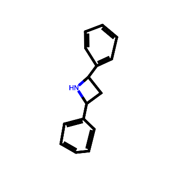 c1ccc(C2CC(c3ccccc3)N2)cc1